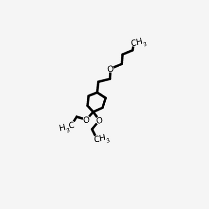 CCCCOCCC1CCC(OCC)(OCC)CC1